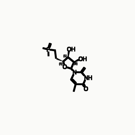 C=C1NC(=O)C(C)=CN1C1O[C@H](CCP(=C)(C)C)[C@@H](O)[C@H]1O